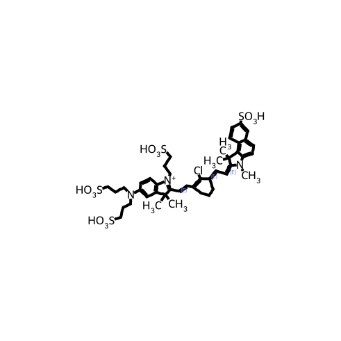 CN1/C(=C/C=C2\CCCC(/C=C/C3=[N+](CCCS(=O)(=O)O)c4ccc(N(CCCS(=O)(=O)O)CCCS(=O)(=O)O)cc4C3(C)C)=C2Cl)C(C)(C)c2c1ccc1cc(S(=O)(=O)O)ccc21